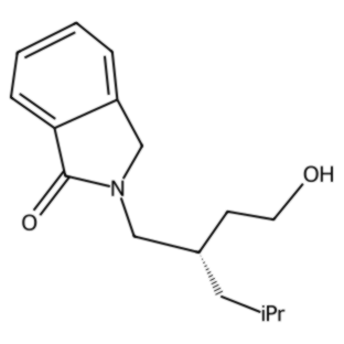 CC(C)C[C@@H](CCO)CN1Cc2ccccc2C1=O